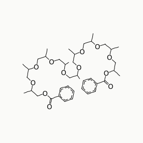 CC(COC(=O)c1ccccc1)OCC(C)OCC(C)OCC(C)OCC(C)OCC(C)OCC(C)OCC(C)OCC(C)OC(=O)c1ccccc1